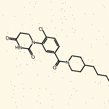 CC(=O)OCCCC1CCN(C(=O)c2ccc(Cl)c(N3CCC(=O)NC3=O)c2)CC1